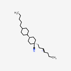 CCC/C=C/CC[C@]1(C#N)CC[C@@H](C2CCC(CCCCC)CC2)CC1